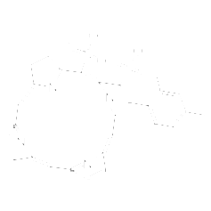 Cc1cc(C)c(C2=C(S(=O)(=O)O)C3=C(S(=O)(=O)O)C4=NC(=CC5=NC(=CC6=NC(=CC2=N3)C=C6)C=C5)C=C4)c(C)c1